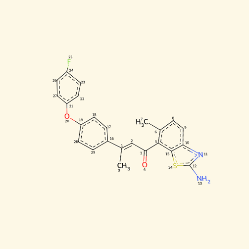 C/C(=C\C(=O)c1c(C)ccc2nc(N)sc12)c1ccc(Oc2ccc(F)cc2)cc1